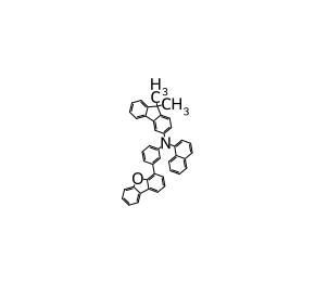 CC1(C)c2ccccc2-c2cc(N(c3cccc(-c4cccc5c4oc4ccccc45)c3)c3cccc4ccccc34)ccc21